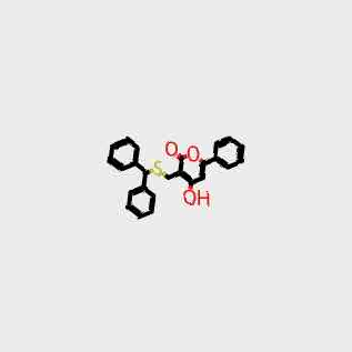 O=c1oc(-c2ccccc2)cc(O)c1CSC(c1ccccc1)c1ccccc1